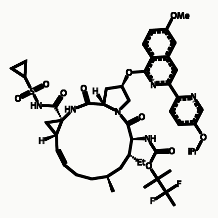 CC[C@@H]1C[C@@H](C)CCC=C[C@@H]2C[C@@]2(C(=O)NS(=O)(=O)C2CC2)NC(=O)[C@@H]2C[C@@H](Oc3nc(-c4ccc(OC(C)C)cn4)cc4cc(OC)ccc34)CN2C(=O)[C@H]1NC(=O)OC(C)(C)C(C)(F)F